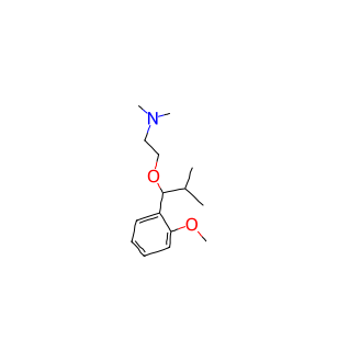 COc1ccccc1C(OCCN(C)C)C(C)C